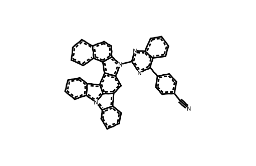 N#Cc1ccc(-c2nc(-n3c4ccc5ccccc5c4c4c5c6ccccc6n6c7ccccc7c(cc43)c56)nc3ccccc23)cc1